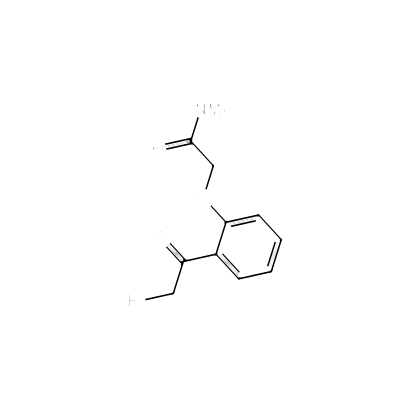 CNC(=O)COc1ccccc1C(=O)CBr